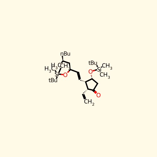 C=C[C@H]1C(=O)C[C@@H](O[Si](C)(C)C(C)(C)C)[C@H]1C=C[C@H](C[C@@H](C)CCCC)O[Si](C)(C)C(C)(C)C